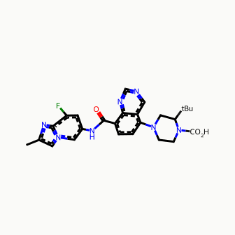 Cc1cn2cc(NC(=O)c3ccc(N4CCN(C(=O)O)C(C(C)(C)C)C4)c4cncnc34)cc(F)c2n1